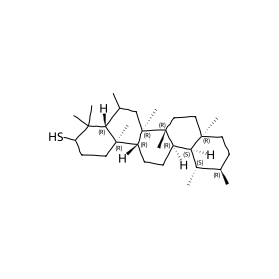 CC1C[C@]2(C)[C@H](CC[C@@H]3[C@@H]4[C@@H](C)[C@H](C)CC[C@]4(C)CC[C@]32C)[C@@]2(C)CCC(S)C(C)(C)[C@H]12